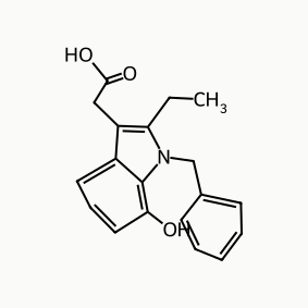 CCc1c(CC(=O)O)c2cccc(O)c2n1Cc1ccccc1